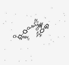 C/C(=C\N=C\Oc1ccc(-c2cc(Cl)cnc2N)cc1)NC(=O)Nc1cc(C(F)(F)F)ccc1-n1cccn1